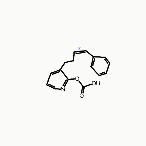 O=C(O)Oc1ncccc1CC/C=C\c1ccccc1